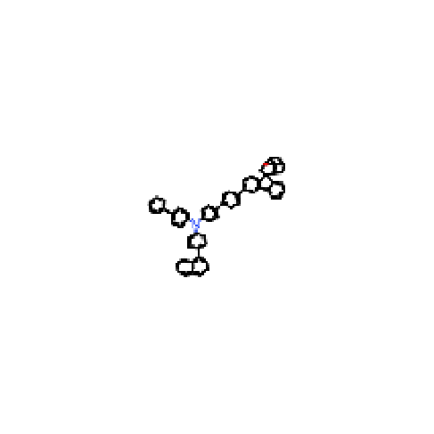 c1ccc(-c2ccc(N(c3ccc(-c4ccc(-c5ccc6c(c5)-c5ccccc5C65C6CC7CC(C6)CC5C7)cc4)cc3)c3ccc(-c4cccc5ccccc45)cc3)cc2)cc1